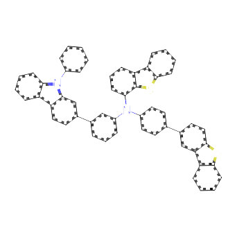 c1ccc(-n2c3ccccc3c3ccc(-c4cccc(N(c5ccc(-c6ccc7sc8ccccc8c7c6)cc5)c5cccc6c5sc5ccccc56)c4)cc32)cc1